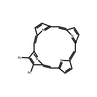 CC(=O)C1=C(C(C)=O)C2=NC1=CC1=NC(=CC3=NC(=CC4=NC(=C2)C=C4)C=C3)C=C1